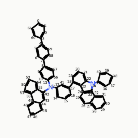 c1ccc(-c2ccc(-c3ccc(N(c4cccc(-c5cccc6c5c5ccc7ccccc7c5n6-c5ccccc5)c4)c4cc5ccccc5c5ccccc45)cc3)cc2)cc1